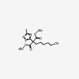 Cc1nsc(C(CCCCCC#N)(C(=O)OC(C)(C)C)C(=O)OC(C)(C)C)n1